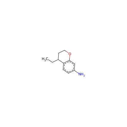 CCC1CCOc2cc(N)ccc21